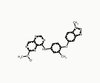 Cc1cc(Nc2ncnc3cnc([S+](C)[O-])nc23)ccc1Oc1ccc2c(c1)nnn2C